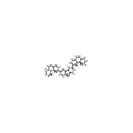 CC12C=CC=NC1c1nc(-c3ccc4oc5ccc(-c6ccc7ccc8cccnc8c7n6)cc5c4c3)ccc1C=C2